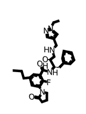 CCCc1cc(C(=O)N[C@@H](Cc2ccccc2)[C@H](O)CNCc2cnn(CC)c2)c(F)c(N2CCCC2=O)c1